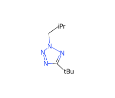 CC(C)Cn1nnc(C(C)(C)C)n1